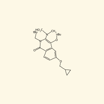 CCCCOc1c(N(C)C(=O)O)n(CC(C)(C)C)c(=O)c2ccc(OCC3CC3)cc12